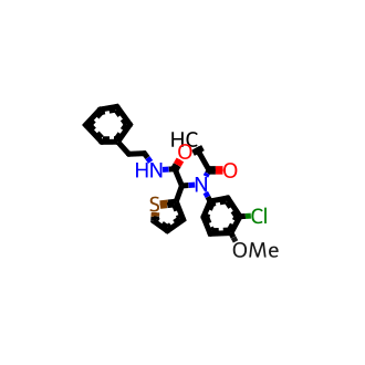 C#CC(=O)N(c1ccc(OC)c(Cl)c1)C(C(=O)NCCc1ccccc1)c1cccs1